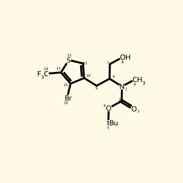 CN(C(=O)OC(C)(C)C)C(CO)Cc1csc(C(F)(F)F)c1Br